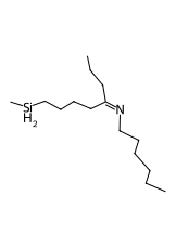 CCCCCCN=C(CCC)CCCC[SiH2]C